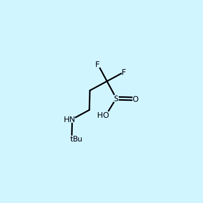 CC(C)(C)NCCC(F)(F)S(=O)O